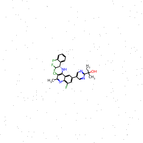 Cc1nc2c(F)cc(-c3cnc(C(C)(C)O)nc3)cc2c(N[C@@H](c2ccccc2F)C(F)F)c1Cl